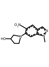 Cn1ncc2cc([N+](=O)[O-])c(N3CCC(O)C3)cc21